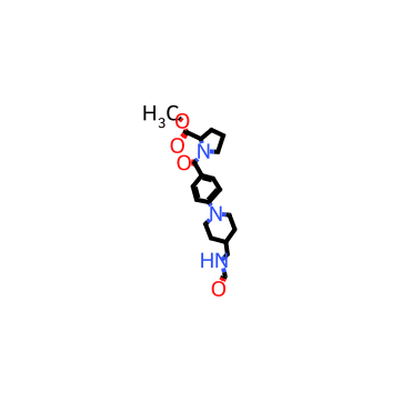 COC(=O)C1CCCN1C(=O)c1ccc(N2CCC(CNC=O)CC2)cc1